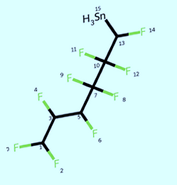 FC(F)C(F)C(F)C(F)(F)C(F)(F)[CH](F)[SnH3]